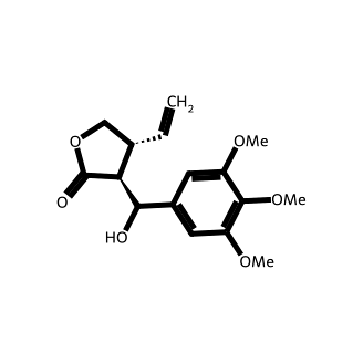 C=C[C@H]1COC(=O)[C@@H]1C(O)c1cc(OC)c(OC)c(OC)c1